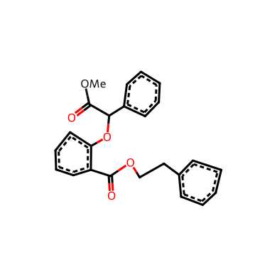 COC(=O)C(Oc1ccccc1C(=O)OCCc1ccccc1)c1ccccc1